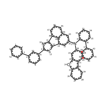 c1ccc(-c2cccc(-c3nc4c(s3)-c3cc(N(c5ccc6c(c5)oc5ccccc56)c5ccccc5-c5ccccc5)cc5cccc-4c35)c2)cc1